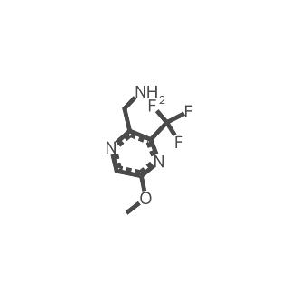 COc1cnc(CN)c(C(F)(F)F)n1